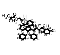 C=C(C)C(=O)OCCNc1ccc(Cl)cc1C(C)(C)/C=C\C=C1/CCC(/C=C/C2Nc3ccc(Cl)cc3C2(C)C)=C1N(c1ccccc1)c1ccccc1